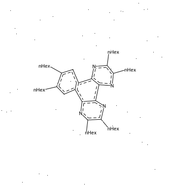 CCCCCCc1cc2c(cc1CCCCCC)c1nc(CCCCCC)c(CCCCCC)nc1c1nc(CCCCCC)c(CCCCCC)nc21